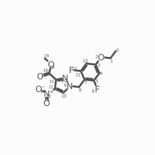 CCOc1cc(F)c(Cn2cc([N+](=O)[O-])c(C(=O)OC)n2)c(F)c1